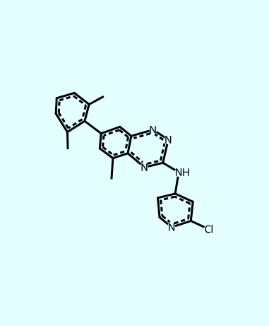 Cc1cccc(C)c1-c1cc(C)c2nc(Nc3ccnc(Cl)c3)nnc2c1